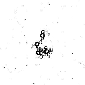 CN1CCN(CCOc2ccc(F)c(CNc3cccc(C=O)c3CN(C)[C@@]3(O)CCC(=O)NC3=O)c2)CC1